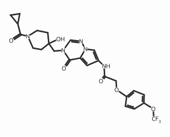 O=C(COc1ccc(OC(F)(F)F)cc1)Nc1cc2c(=O)n(CC3(O)CCN(C(=O)C4CC4)CC3)cnn2c1